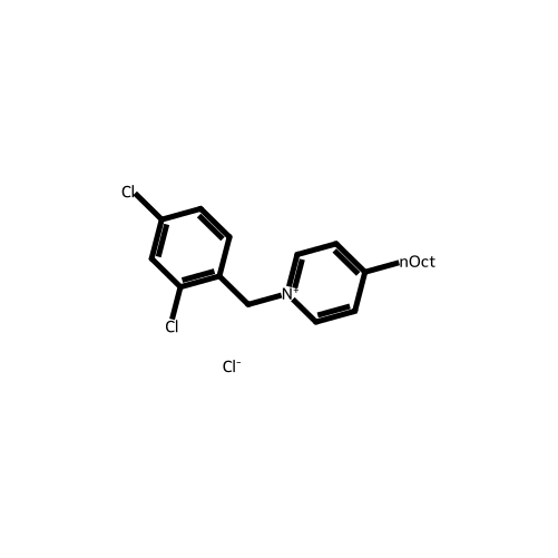 CCCCCCCCc1cc[n+](Cc2ccc(Cl)cc2Cl)cc1.[Cl-]